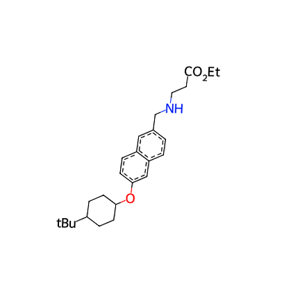 CCOC(=O)CCNCc1ccc2cc(OC3CCC(C(C)(C)C)CC3)ccc2c1